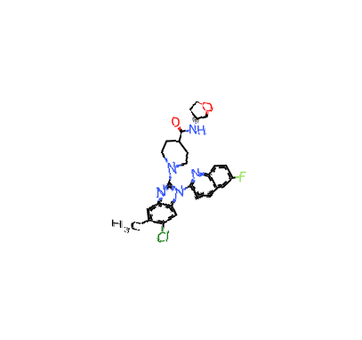 Cc1cc2nc(N3CCC(C(=O)N[C@@H]4CCOC4)CC3)n(-c3ccc4cc(F)ccc4n3)c2cc1Cl